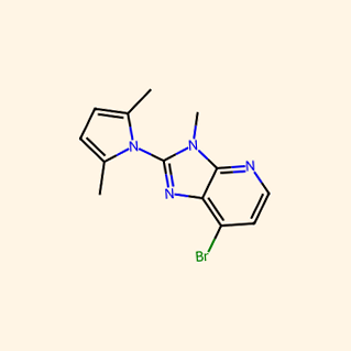 Cc1ccc(C)n1-c1nc2c(Br)ccnc2n1C